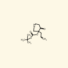 C=CCC1(OC(=O)OC(C)(C)C)CNCCC1=O